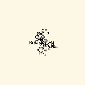 CN1CCCC(N(c2cnn(C)c2)S(=O)(=O)N(OC(=O)C(F)(F)F)C(=O)OC(C)(C)C)C1